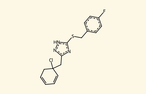 Fc1ccc(CSc2nc(CC3(Cl)C=CC=CC3)n[nH]2)cc1